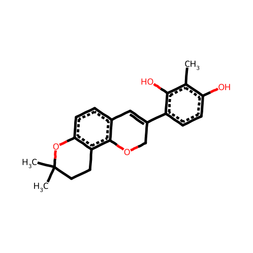 Cc1c(O)ccc(C2=Cc3ccc4c(c3OC2)CCC(C)(C)O4)c1O